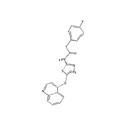 O=C(Cc1ccc(F)cc1)Nc1nnc(Sc2ccnc3ccccc23)s1